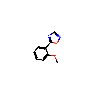 COc1ccccc1-c1ncno1